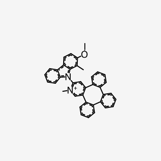 Cc1c(OI)ccc2c3ccccc3n(-c3cc4c(c[n+]3C)-c3ccccc3-c3ccccc3-c3ccccc3-4)c12